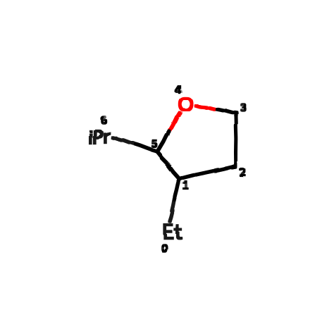 CCC1CCOC1C(C)C